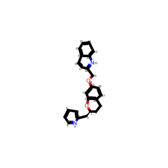 [CH]1C[C@@H](Cc2ccccn2)Oc2cc(OCc3ccc4ccccc4n3)ccc21